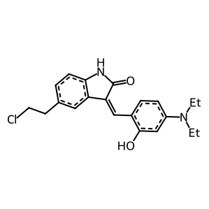 CCN(CC)c1ccc(C=C2C(=O)Nc3ccc(CCCl)cc32)c(O)c1